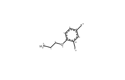 NCCOc1ccc(F)cc1F